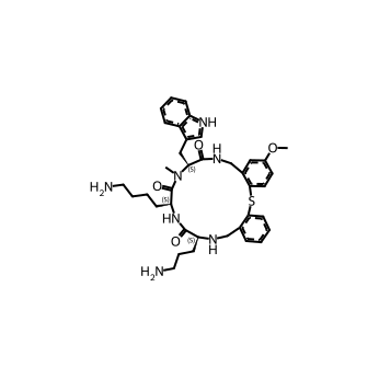 COc1ccc2c(c1)CNC(=O)[C@H](Cc1c[nH]c3ccccc13)N(C)C(=O)[C@H](CCCCN)NC(=O)[C@H](CCCN)NCc1ccccc1S2